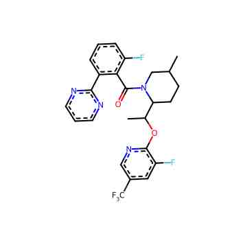 CC1CCC(C(C)Oc2ncc(C(F)(F)F)cc2F)N(C(=O)c2c(F)cccc2-c2ncccn2)C1